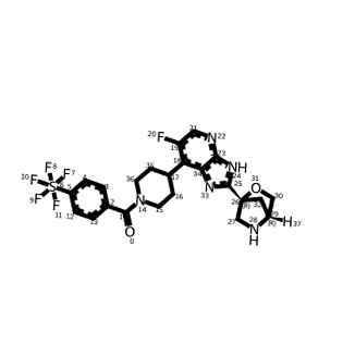 O=C(c1ccc(S(F)(F)(F)(F)F)cc1)N1CCC(c2c(F)cnc3[nH]c([C@@]45CN[C@@H](CO4)C5)nc23)CC1